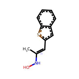 C/C(=C\c1cc2ccccc2s1)NO